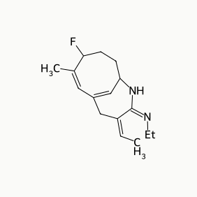 C/C=C1/CC2=CC(CCC(F)/C(C)=C\2)N/C1=N/CC